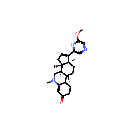 COc1cncc(C2=CC[C@H]3[C@@H]4CN(C)C5=CC(=O)CC[C@]5(C)[C@H]4CC[C@]23C)n1